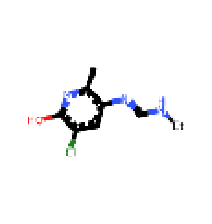 CCN/C=N/c1cc(Cl)c(O)nc1C